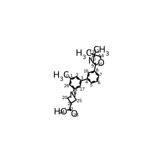 Cc1cc(-c2cccc(C3=NC(C)(C)CO3)c2)cc(N2CC(C(=O)O)C2)c1